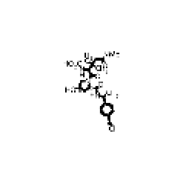 C#Cc1ccc(C(C)NC(=O)[C@@H]2C[C@@H](O)CN2C(=O)C(NC(=O)O)C(C)(C)CC(=O)NC)cc1